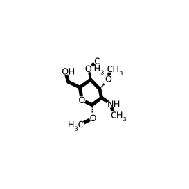 CNC1[C@H](OC)OC(CO)[C@@H](OC)[C@@H]1OC